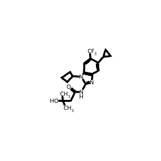 CC(C)(O)CC(=O)Nc1nc2cc(C3CC3)c(C(F)(F)F)cc2n1C1CCC1